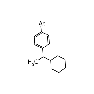 CC(=O)c1ccc(C(C)C2CCCCC2)cc1